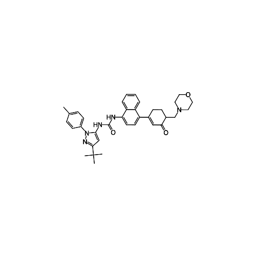 Cc1ccc(-n2nc(C(C)(C)C)cc2NC(=O)Nc2ccc(C3=CC(=O)C(CN4CCOCC4)CC3)c3ccccc23)cc1